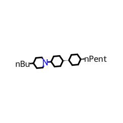 CCCCC[C@H]1CC[C@H](C2CCC(N3CCC(CCCC)CC3)CC2)CC1